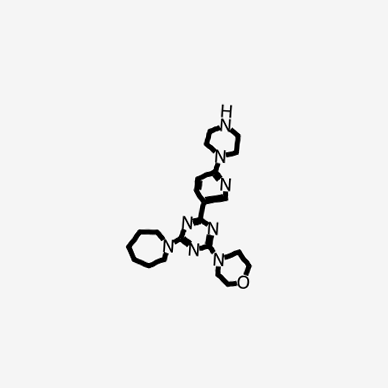 c1cc(N2CCNCC2)ncc1-c1nc(N2CCCCCC2)nc(N2CCOCC2)n1